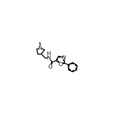 CN1CCC(CNC(=O)c2cnc(-c3ccccc3)o2)C1